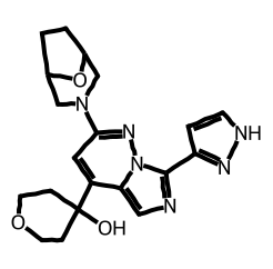 OC1(c2cc(N3CC4CCC(C3)O4)nn3c(-c4cc[nH]n4)ncc23)CCOCC1